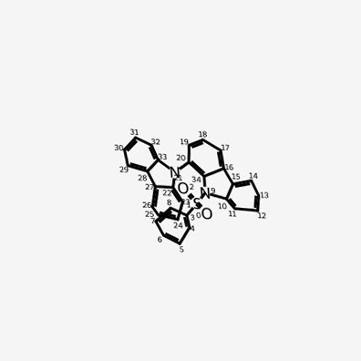 O=S(=O)(c1ccccc1)n1c2ccccc2c2cccc(-n3c4ccccc4c4ccccc43)c21